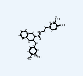 O=C(NCCc1ccc(O)c(O)c1)C1Cc2ccccc2CC1Cc1ccc(O)c(O)c1